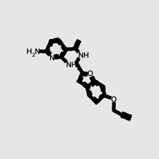 C#CCOc1ccc2cc(CNC(=C)c3ccc(N)nc3N)oc2c1